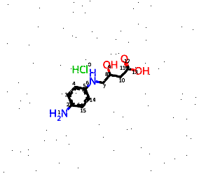 Cl.Nc1ccc(NCC(O)CC(=O)O)cc1